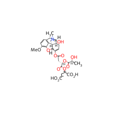 COc1ccc2c3c1O[C@@H]1C(OC(=O)C[C@H](OC(=O)[C@H](C)O)C(=O)O[C@H](CC(=O)O)C(=O)O)=CC[C@]4(O)[C@H](C2)N(C)CC[C@@]314